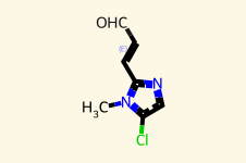 Cn1c(Cl)cnc1/C=C/C=O